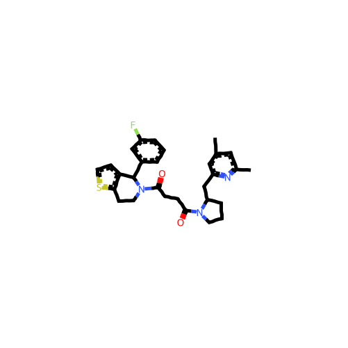 Cc1cc(C)nc(CC2CCCN2C(=O)CCC(=O)N2CCc3sccc3C2c2cccc(F)c2)c1